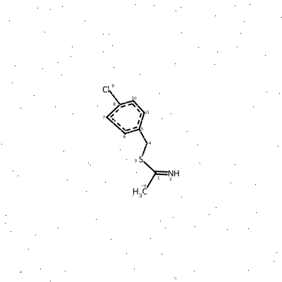 CC(=N)SCc1ccc(Cl)cc1